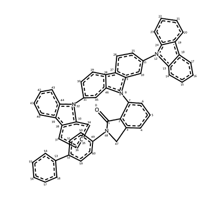 O=C1c2c(cccc2-n2c3cc(-n4c5ccccc5c5ccccc54)ccc3c3ccc(-n4c5ccccc5c5ccccc54)cc32)CN1c1ccc(-c2ccccc2)cc1